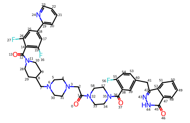 O=C(CN1CCN(CC2CCN(C(=O)c3c(F)cc(-c4ccccn4)cc3F)CC2)CC1)N1CCN(C(=O)c2cc(Cc3n[nH]c(=O)c4ccccc34)ccc2F)CC1